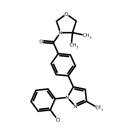 CC1(C)COCN1C(=O)c1ccc(-c2cc(C(F)(F)F)nn2-c2ccccc2Cl)cc1